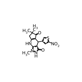 Cn1[nH]c(=O)c2c1NC1=C(C(=O)C(C)(C)C1)C2c1csc([N+](=O)[O-])c1